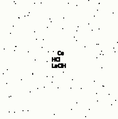 Cl.Cl.[Ce].[La]